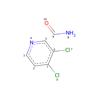 Clc1ccncc1Cl.NC=O